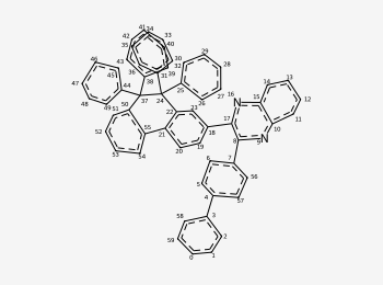 c1ccc(-c2ccc(-c3nc4ccccc4nc3-c3ccc4c(c3)C(c3ccccc3)(c3ccccc3)C(c3ccccc3)(c3ccccc3)c3ccccc3-4)cc2)cc1